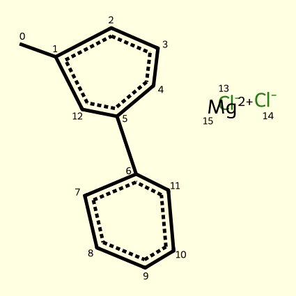 Cc1cccc(-c2ccccc2)c1.[Cl-].[Cl-].[Mg+2]